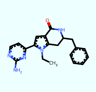 CCn1c(-c2ccnc(N)n2)cc2c1CC(Cc1ccccc1)NC2=O